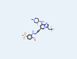 COc1ccc(S(C)(=O)=O)cc1NCC#Cc1cc(N[C@@H]2CCN(C)C[C@@H]2F)c2ncc(CC(F)(F)F)n2c1